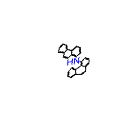 c1ccc2c(c1)ccc1c(Nc3cccc4ccc5ccccc5c34)cccc12